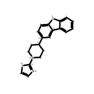 c1ccc2c(c1)sc1ccc(C3CCN(c4nccs4)CC3)cc12